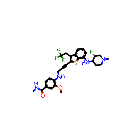 CNC(=O)c1ccc(NCC#Cc2sc3c(NC4CCN(C)C[C@@H]4F)cccc3c2CC(F)(F)F)c(OC)c1